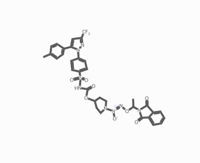 Cc1ccc(-c2cc(C(F)(F)F)nn2-c2ccc(S(=O)(=O)NC(=O)OC3CCN(/[N+]([O-])=N/OC(C)N4C(=O)c5ccccc5C4=O)CC3)cc2)cc1